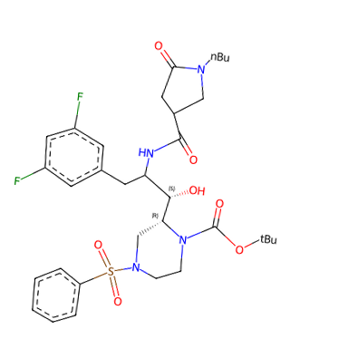 CCCCN1CC(C(=O)NC(Cc2cc(F)cc(F)c2)[C@H](O)[C@H]2CN(S(=O)(=O)c3ccccc3)CCN2C(=O)OC(C)(C)C)CC1=O